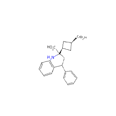 NC(CC(c1ccccc1)c1ccccc1)(C(=O)O)[C@H]1C[C@@H](C(=O)O)C1